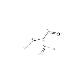 C=CC.CCCC=O